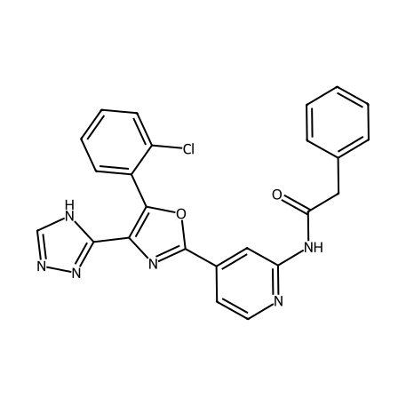 O=C(Cc1ccccc1)Nc1cc(-c2nc(-c3nnc[nH]3)c(-c3ccccc3Cl)o2)ccn1